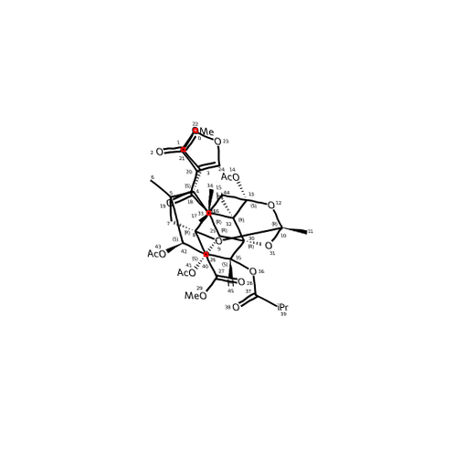 COC(=O)C[C@H]1C2(C)C[C@@]34O[C@]5(C)O[C@]6(OC(C)=O)C[C@@](C)(C(=O)c7ccoc7)[C@@H](CC(=O)OC)[C@@](O5)([C@H]6[C@@]13C)[C@H](OC(=O)C(C)C)[C@@]4(OC(C)=O)[C@H]2OC(C)=O